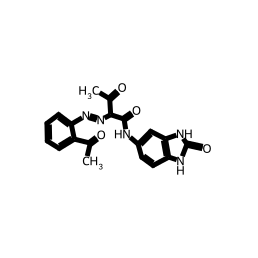 CC(=O)c1ccccc1/N=N/C(C(C)=O)C(=O)Nc1ccc2[nH]c(=O)[nH]c2c1